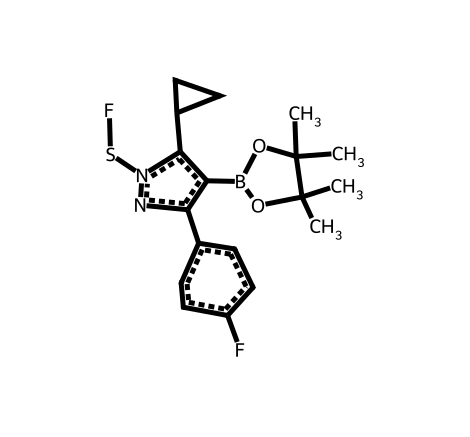 CC1(C)OB(c2c(-c3ccc(F)cc3)nn(SF)c2C2CC2)OC1(C)C